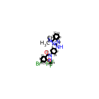 CN(C)c1nc(N[C@H]2CC[C@@H](NC(=O)c3ccc(Br)cc3OC(F)(F)F)CC2)nc2ccccc12